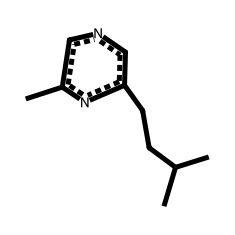 Cc1cncc(CCC(C)C)n1